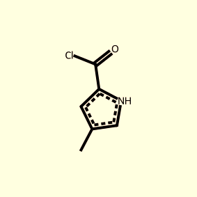 Cc1c[nH]c(C(=O)Cl)c1